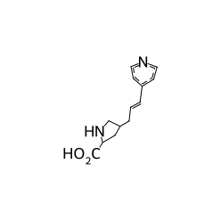 O=C(O)C1CC(C/C=C/c2ccncc2)CN1